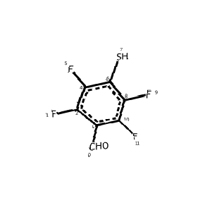 O=Cc1c(F)c(F)c(S)c(F)c1F